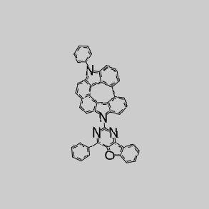 c1ccc(-c2nc(-n3c4cccc5c4c4c6c(ccc7c6c6c-5cccc6n7-c5ccccc5)ccc43)nc3c2oc2ccccc23)cc1